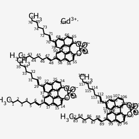 CCCCCCC=Cc1ccc2c3c(ccc2c1)OP(=O)([O-])Oc1ccc2cc(C=CCCCCCC)ccc2c1-3.CCCCCCC=Cc1ccc2c3c(ccc2c1)OP(=O)([O-])Oc1ccc2cc(C=CCCCCCC)ccc2c1-3.CCCCCCC=Cc1ccc2c3c(ccc2c1)OP(=O)([O-])Oc1ccc2cc(C=CCCCCCC)ccc2c1-3.[Gd+3]